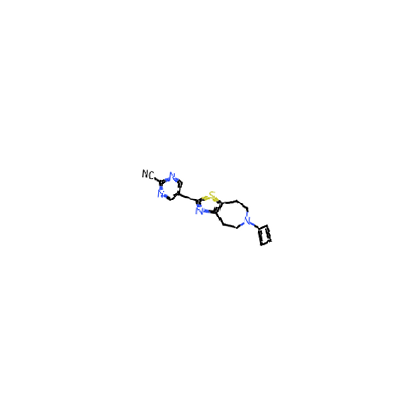 N#Cc1ncc(-c2nc3c(s2)CCN(C2=CC=C2)CC3)cn1